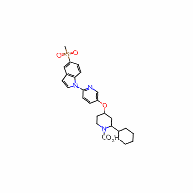 CS(=O)(=O)c1ccc2c(ccn2-c2ccc(OC3CCN(C(=O)O)C(C4CCCCC4)C3)cn2)c1